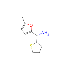 Cc1ccc([C@H](N)[C@@H]2CCCS2)o1